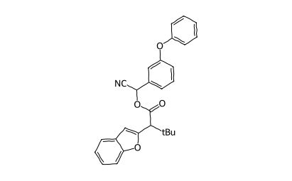 CC(C)(C)C(C(=O)OC(C#N)c1cccc(Oc2ccccc2)c1)c1cc2ccccc2o1